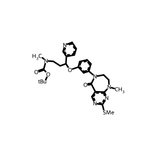 CSc1ncc2c(n1)N(C)CCN(c1cccc(OC(CCN(C)C(=O)OC(C)(C)C)c3cccnc3)c1)C2=O